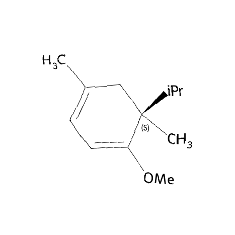 COC1=CC=C(C)C[C@@]1(C)C(C)C